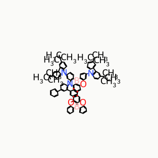 CC(C)(C)c1ccc2c(c1)c1cc(C(C)(C)C)ccc1n2-c1ccc2c(c1)Oc1cc(-c3cc4c5c(c3)Oc3ccccc3B5c3ccccc3O4)cc3c1B2c1ccc(-n2c4ccc(C(C)(C)C)cc4c4cc(C(C)(C)C)ccc42)cc1N3c1ccc(-c2ccccc2)cc1-c1ccccc1